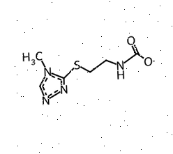 Cn1cnnc1SCCNC([O])=O